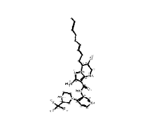 CCCCCCCCCC1C(Cl)CNc2c(C(=O)Nc3cnccc3N3CCNC(C(F)(F)F)C3)c(N)nn21